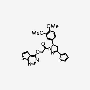 COc1ccc(C2CC(c3cccs3)=NN2C(=O)COc2ncnc3sccc23)cc1OC